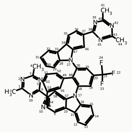 Cc1nc(C)nc(-c2ccc3c4ccccc4n(-c4cc(C(F)(F)F)cc(-n5c6ccccc6c6ccc(-c7nc(C)nc(C)n7)cc65)c4-c4cccc(C#N)c4)c3c2)n1